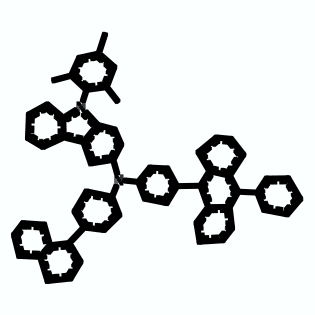 Cc1cc(C)c(-n2c3ccccc3c3cc(N(c4ccc(-c5cccc6ccccc56)cc4)c4ccc(-c5c6ccccc6c(-c6ccccc6)c6ccccc56)cc4)ccc32)c(C)c1